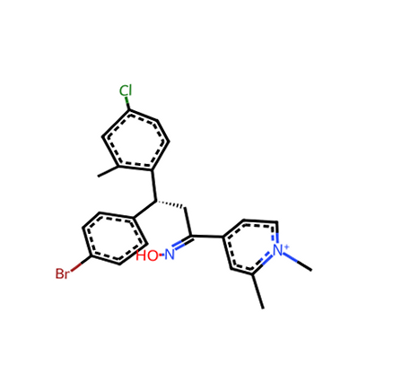 Cc1cc(Cl)ccc1[C@H](C/C(=N\O)c1cc[n+](C)c(C)c1)c1ccc(Br)cc1